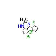 C[C@H]1CNc2ccc(Br)c(Cl)c2C(c2c(F)cccc2F)=N1